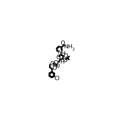 CC1(C)O[C@@H]2[C@H](O1)C(COP1(=O)OCCC(c3cccc(Cl)c3)O1)O[C@H]2N1C=C(C(N)=O)C=CC1